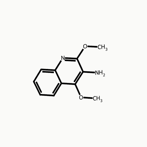 COc1nc2ccccc2c(OC)c1N